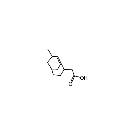 CC1C=C2CC(CCC2CC(=O)O)C1